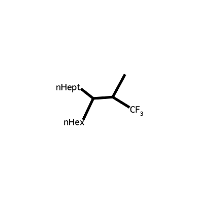 CCCCCCCC(CCCCCC)C(C)C(F)(F)F